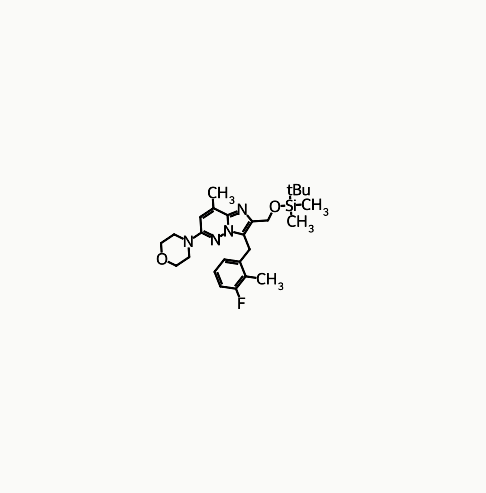 Cc1c(F)cccc1Cc1c(CO[Si](C)(C)C(C)(C)C)nc2c(C)cc(N3CCOCC3)nn12